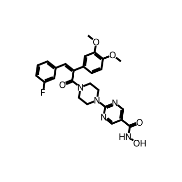 COc1ccc(C(=Cc2cccc(F)c2)C(=O)N2CCN(c3ncc(C(=O)NO)cn3)CC2)cc1OC